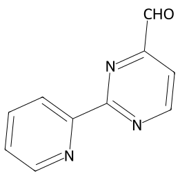 O=Cc1ccnc(-c2ccccn2)n1